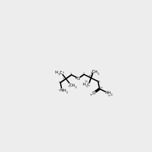 CC(C)(CN)COCC(C)(C)CC(N)=O